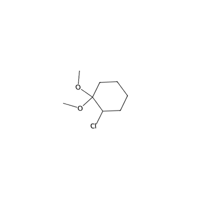 COC1(OC)CCCCC1Cl